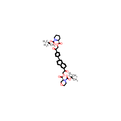 CC(C)(C)OC(=O)N1CCCC[C@H]1C(=O)OCC(=O)c1ccc(-c2ccc3cc(C(=O)COC(=O)[C@@H]4COCCN4C(=O)OC(C)(C)C)ccc3c2)cc1